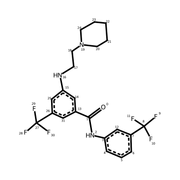 O=C(Nc1cccc(C(F)(F)F)c1)c1cc(NCCN2CCCCC2)cc(C(F)(F)F)c1